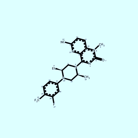 CC[C@H]1CN(c2nc(=O)n(C)c3ccc(C#N)nc23)[C@@H](C)CN1c1ccc(C(F)(F)F)c(F)c1